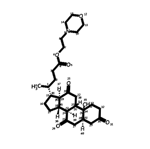 CC(CCC(=O)OCCN1CCOCC1)[C@H]1CC[C@@H]2[C@@H]1C(=O)C[C@H]1[C@H]2C(=O)C[C@@H]2CC(=O)CC[C@@]21C